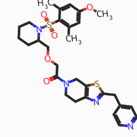 COc1cc(C)c(S(=O)(=O)N2CCCCC2COCC(=O)N2CCc3nc(Cc4ccncc4)sc3C2)c(C)c1